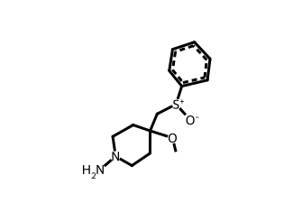 COC1(C[S+]([O-])c2ccccc2)CCN(N)CC1